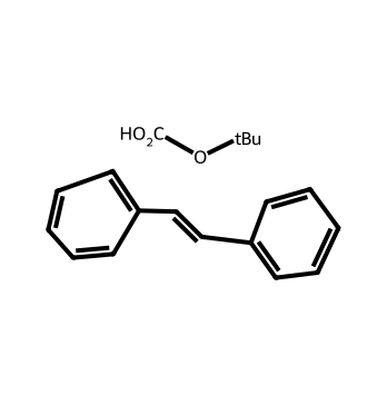 C(=Cc1ccccc1)c1ccccc1.CC(C)(C)OC(=O)O